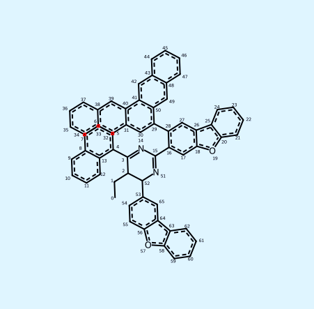 CCC1C(c2cccc3ccccc23)=NC(c2cc3oc4ccccc4c3cc2-c2cc3cc4ccccc4cc3c3cc4ccccc4cc23)=NC1c1ccc2oc3ccccc3c2c1